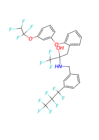 OC(Cc1ccccc1Oc1cccc(OC(F)(F)C(F)F)c1)(NCc1cccc(C(F)(F)C(F)(F)C(F)(F)F)c1)C(F)(F)F